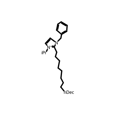 CCCCCCCCCCCCCCCCCCc1n(Cc2ccccc2)cc[n+]1C(C)C